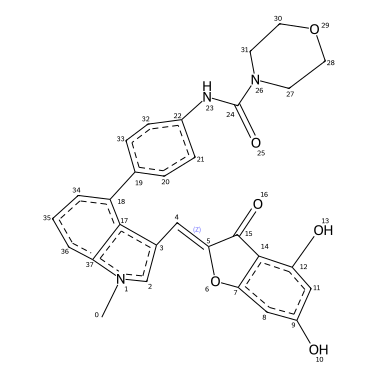 Cn1cc(/C=C2\Oc3cc(O)cc(O)c3C2=O)c2c(-c3ccc(NC(=O)N4CCOCC4)cc3)cccc21